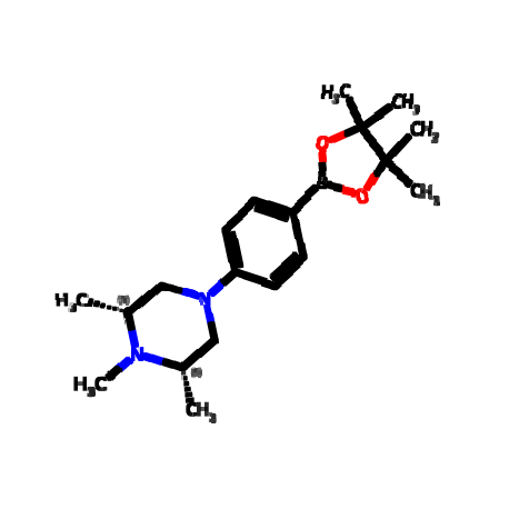 C[C@@H]1CN(c2ccc(B3OC(C)(C)C(C)(C)O3)cc2)C[C@H](C)N1C